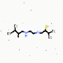 CCC(CC)C(C)CNCCNCC(S)C(CC)CC